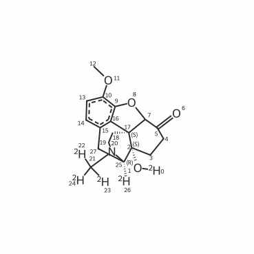 [2H]O[C@@]12CCC(=O)C3Oc4c(OC)ccc5c4[C@@]31CCN(C([2H])([2H])[2H])[C@]2([2H])C5